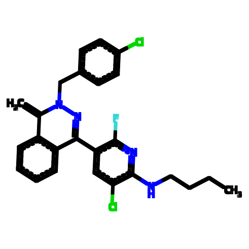 C=C1c2ccccc2C(c2cc(Cl)c(NCCCC)nc2F)=NN1Cc1ccc(Cl)cc1